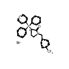 O=C1[C@H]([P+](c2ccccc2)(c2ccccc2)c2ccccc2)CCN1Cc1ccc(C(F)(F)F)cc1.[Br-]